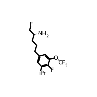 CC(C)c1cc(CCC[C@@H](N)CF)cc(OC(F)(F)F)c1F